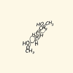 COC[C@@]1(O)CC[C@H]2[C@H](CC[C@@H]3[C@@H]2CC[C@]2(C)[C@@H](C(C)O)CC[C@@H]32)C1